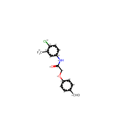 O=Cc1ccc(OCC(=O)Nc2ccc(Cl)c(C(F)(F)F)c2)cc1